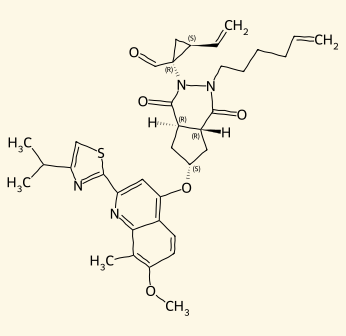 C=CCCCCN1C(=O)[C@@H]2C[C@H](Oc3cc(-c4nc(C(C)C)cs4)nc4c(C)c(OC)ccc34)C[C@H]2C(=O)N1[C@]1(C=O)C[C@H]1C=C